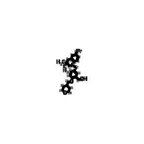 CC(C)c1ccc2c(c1)CC(C)(C)CN2Sc1ccc(OCC2CCOCC2)c(CO)c1